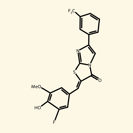 COc1cc(/C=c2\sc3nc(-c4cccc(C(F)(F)F)c4)cn3c2=O)cc(F)c1O